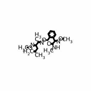 C=C(C)CC(=N\OC)/C(C)=N/OCc1ccccc1/C(=N\OC)C(=O)NC